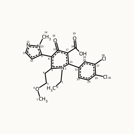 CCn1c(CCOC)c(-c2ccnn2C)c(=O)c(C(=O)O)c1-c1ccc(Cl)c(Cl)c1